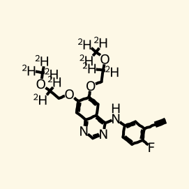 [2H]C([2H])([2H])OC([2H])([2H])COc1cc2ncnc(Nc3ccc(F)c(C#C)c3)c2cc1OCC([2H])([2H])OC([2H])([2H])[2H]